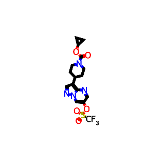 O=C(OC1CC1)N1CCC(c2cnn3cc(OS(=O)(=O)C(F)(F)F)cnc23)CC1